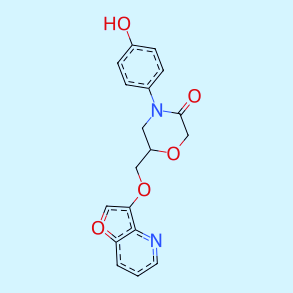 O=C1COC(COc2coc3cccnc23)CN1c1ccc(O)cc1